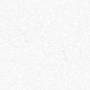 CCCCCCCCCCC(COc1ccccc1)Oc1ccccc1